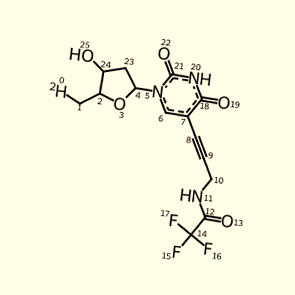 [2H]CC1OC(n2cc(C#CCNC(=O)C(F)(F)F)c(=O)[nH]c2=O)CC1O